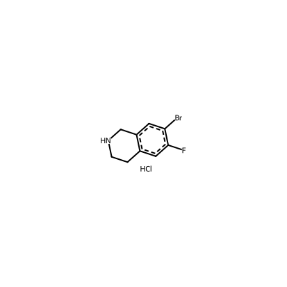 Cl.Fc1cc2c(cc1Br)CNCC2